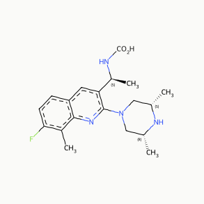 Cc1c(F)ccc2cc([C@H](C)NC(=O)O)c(N3C[C@@H](C)N[C@@H](C)C3)nc12